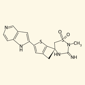 CN1C(=N)N[C@@]2(Cc3cc(-c4cc5cnccc5[nH]4)sc32)CS1(=O)=O